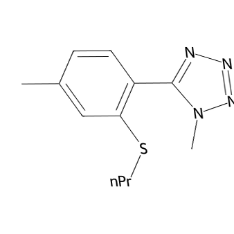 CCCSc1cc(C)ccc1-c1nnnn1C